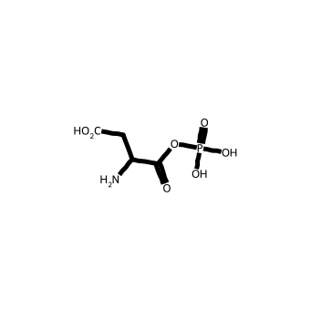 NC(CC(=O)O)C(=O)OP(=O)(O)O